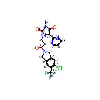 O=C1NC(=O)N(CCC(=O)N2Cc3cc(Cl)c(C(F)(F)F)cc3C2)C1c1ncccn1